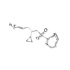 C=CC[C@H](CS(=O)(=O)c1ncccn1)C1CC1